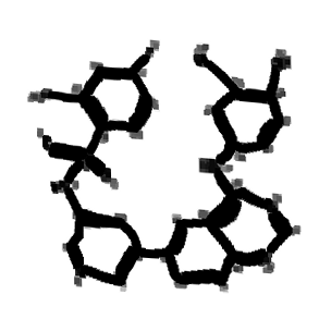 O=S(=O)(Nc1cncc(-c2ccc3ncnc(Nc4ccc(O)c(Cl)c4)c3c2)c1)c1ccc(F)cc1F